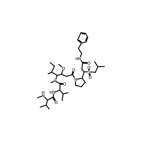 CCC(C)C(C(CC(=O)N1CCCC1C(CC(=O)NCCc1ccccc1)S(=O)(=O)CC(C)C)OC)N(C)C(=O)C(NC(=O)C(NC)C(C)C)C(C)C